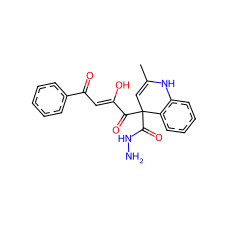 CC1=CC(C(=O)NN)(C(=O)C(O)=CC(=O)c2ccccc2)c2ccccc2N1